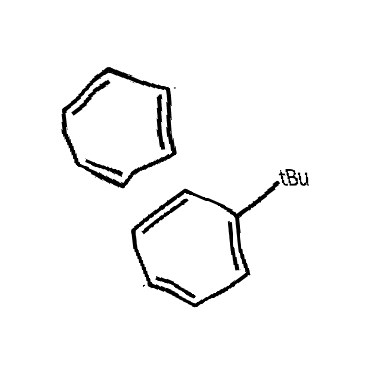 CC(C)(C)c1cc[c]cc1.[c]1ccccc1